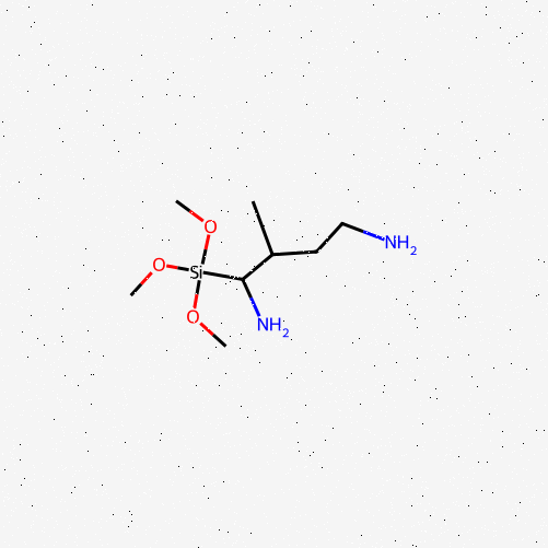 CO[Si](OC)(OC)C(N)C(C)CCN